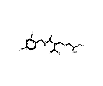 CCC(=O)/C(=C\NCC(OC)OC)C(=O)NCc1ccc(F)cc1F